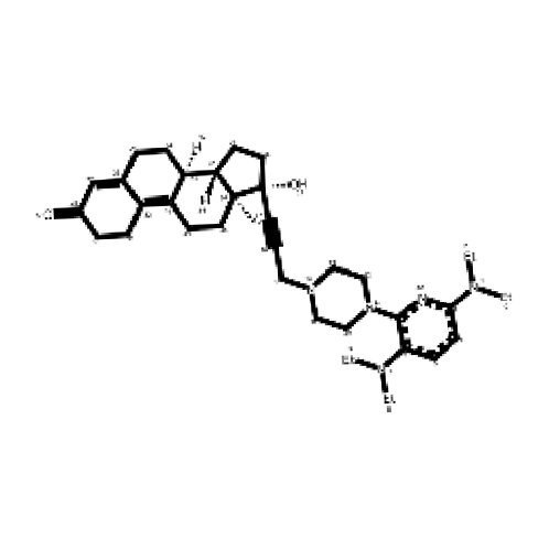 CCN(CC)c1ccc(N(CC)CC)c(N2CCN(CC#C[C@]3(O)CC[C@H]4[C@@H]5CCC6=CC(=O)CCC6=C5CC[C@@]43C)CC2)n1